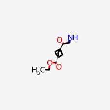 CCOC(=O)[C@]12C[C@@](C(=O)C=N)(C1)C2